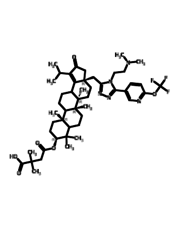 CC(C)C1=C2C3CCC4[C@@]5(C)CC[C@H](OC(=O)CC(C)(C)C(=O)O)C(C)(C)C5CC[C@@]4(C)[C@]3(C)CC[C@@]2(Cc2nnc(-c3ccc(OC(F)(F)F)nc3)n2CCN(C)C)CC1=O